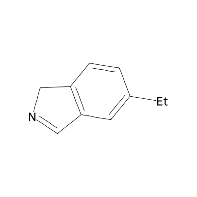 CCc1ccc2c(c1)C=NC2